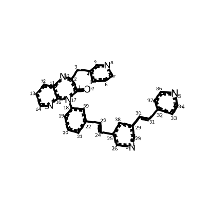 O=c1c(Cc2cccnc2)nc2cccnc2n1-c1cccc(C=Cc2cncc(C=Cc3ccncc3)c2)c1